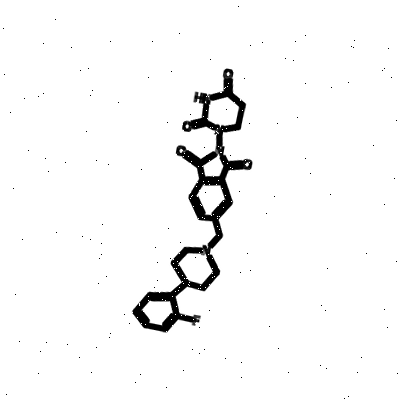 O=C1CCN(N2C(=O)c3ccc(CN4CCC(c5ccccc5F)CC4)cc3C2=O)C(=O)N1